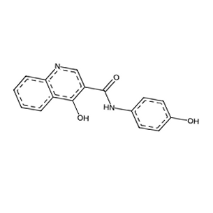 O=C(Nc1ccc(O)cc1)c1cnc2ccccc2c1O